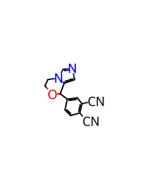 N#Cc1ccc(C2OCCn3cncc32)cc1C#N